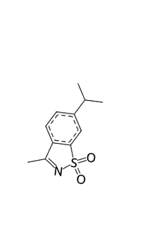 CC1=NS(=O)(=O)c2cc(C(C)C)ccc21